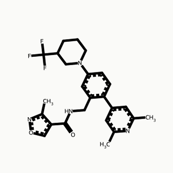 Cc1cc(-c2ccc(N3CCCC(C(F)(F)F)C3)cc2CNC(=O)c2conc2C)cc(C)n1